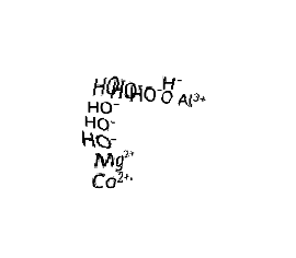 [Al+3].[Co+2].[Mg+2].[OH-].[OH-].[OH-].[OH-].[OH-].[OH-].[OH-]